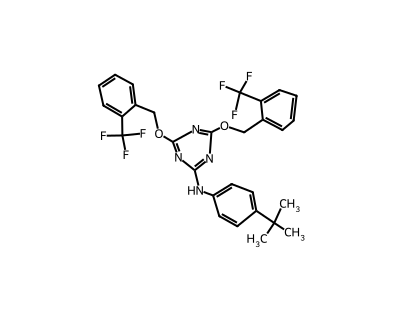 CC(C)(C)c1ccc(Nc2nc(OCc3ccccc3C(F)(F)F)nc(OCc3ccccc3C(F)(F)F)n2)cc1